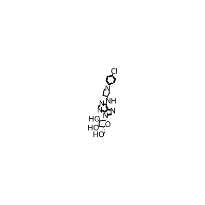 OC[C@H]1O[C@@H](n2cnc3c(N[C@H]4CCN(c5ccc(Cl)cc5)C4)ncnc32)[C@@H](O)[C@H]1O